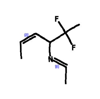 C/C=C\C(/N=C/C)C(C)(F)F